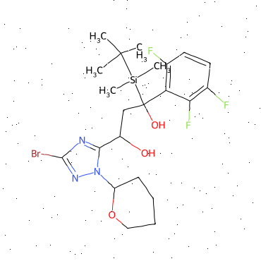 CC(C)(C)[Si](C)(C)C(O)(CC(O)c1nc(Br)nn1C1CCCCO1)c1c(F)ccc(F)c1F